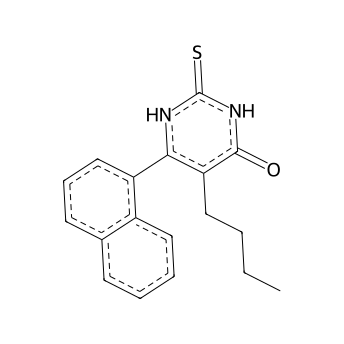 CCCCc1c(-c2cccc3ccccc23)[nH]c(=S)[nH]c1=O